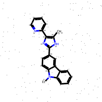 CCn1c2ccccc2c2cc(-c3nc(-c4ccccn4)c(C)[nH]3)ccc21